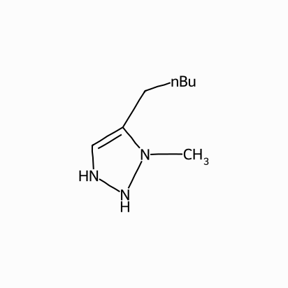 CCCCCC1=CNNN1C